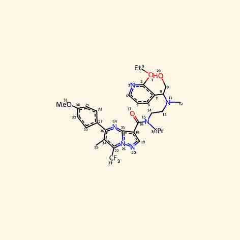 CCOc1ncccc1C(CO)N(C)CCN(C(=O)c1cnn2c(C(F)(F)F)c(C)c(-c3ccc(OC)cc3)nc12)C(C)C